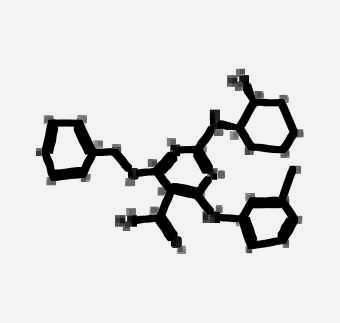 Cc1cccc(Nc2nc(N[C@@H]3CCCC[C@@H]3N)nc(OCc3ccccc3)c2C(N)=O)c1